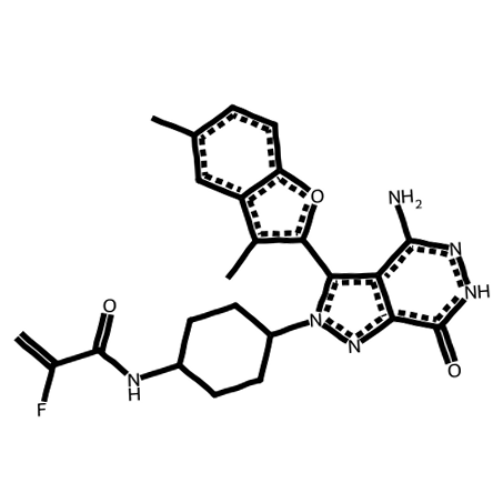 C=C(F)C(=O)NC1CCC(n2nc3c(=O)[nH]nc(N)c3c2-c2oc3ccc(C)cc3c2C)CC1